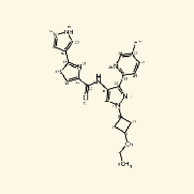 CCOC1CC(n2cc(NC(=O)c3csc(-c4cn[nH]c4)n3)c(-c3ccc(F)cn3)n2)C1